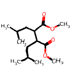 COC(=O)C(CC(C)C)C(CC(C)C)C(=O)OC